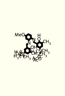 CC(=O)[O-].CC(=O)[O-].COc1ccc(N=Cc2cc([Si](C)(C)C)cc(C)c2O)c(N=Cc2cc([Si](C)(C)C)cc(C)c2O)c1.[Co+2]